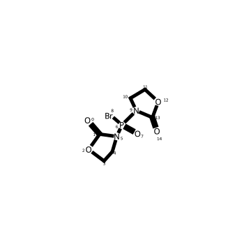 O=C1OCCN1P(=O)(Br)N1CCOC1=O